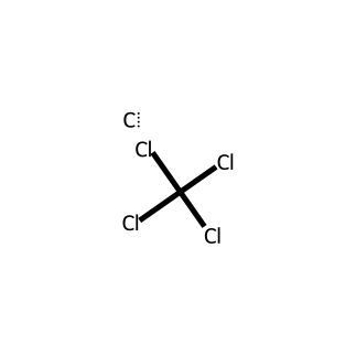 ClC(Cl)(Cl)Cl.[C]